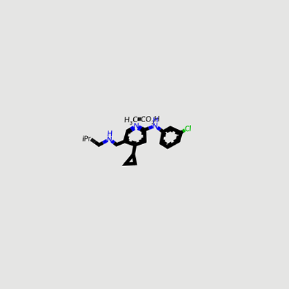 CC(=O)O.CC(C)CNCc1cnc(Nc2cccc(Cl)c2)cc1C1CC1